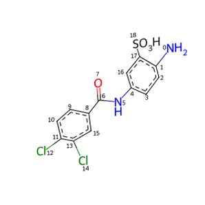 Nc1ccc(NC(=O)c2ccc(Cl)c(Cl)c2)cc1S(=O)(=O)O